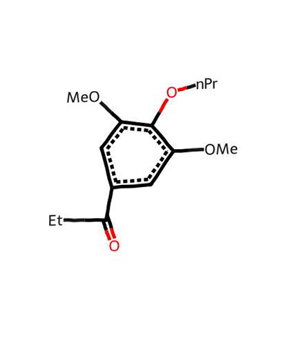 CCCOc1c(OC)cc(C(=O)CC)cc1OC